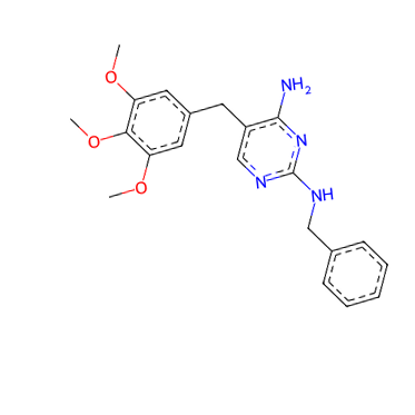 COc1cc(Cc2cnc(NCc3ccccc3)nc2N)cc(OC)c1OC